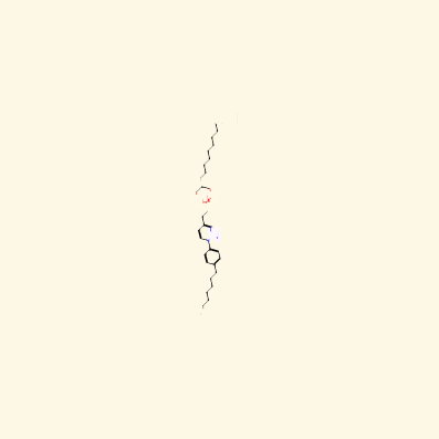 CCCCCCCCCC[C@H]1CO[C@H](CCc2ccc(-c3ccc(CCCCCCC)cc3)nc2)OC1